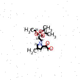 C=C1CC(C(=O)C=O)N(CC[Si](OCC)(OCC)OCC)C1